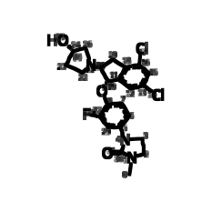 CN1CCN(c2ccc(O[C@H]3c4cc(Cl)cc(Cl)c4C[C@H]3N3CC[C@@H](O)C3)c(F)c2)C1=O